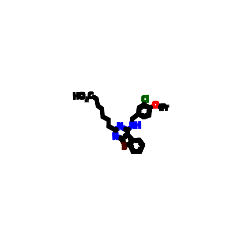 CC(C)Oc1ccc(CNc2nc(CCCCCCC(=O)O)nc3sc4ccccc4c23)cc1Cl